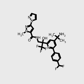 Cn1nc(-n2cccn2)cc1C(=O)NCC(O)(c1cc(C(C)(C)N)cc(-c2ccc(C(F)F)cc2)n1)C(F)(F)F